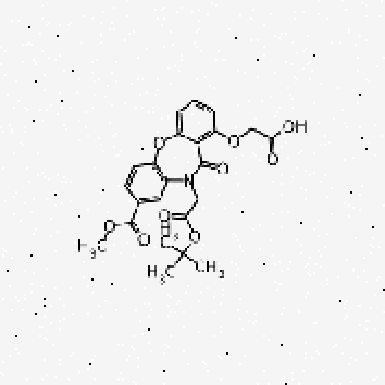 COC(=O)c1ccc2c(c1)N(CC(=O)OC(C)(C)C)C(=O)c1c(OCC(=O)O)cccc1O2